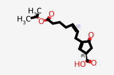 CC(C)OC(=O)CCC/C=C\CC1=C[C@H](C(=O)O)CC1=O